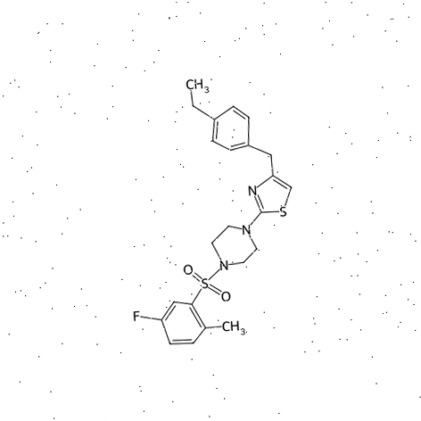 CCc1ccc(Cc2csc(N3CCN(S(=O)(=O)c4cc(F)ccc4C)CC3)n2)cc1